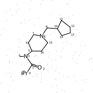 CC(C)C(=O)N(C)C1CCN(CC2CCCC2)CC1